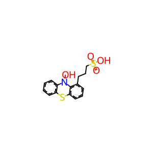 O=S(=O)(O)CCCc1cccc2c1N(O)c1ccccc1S2